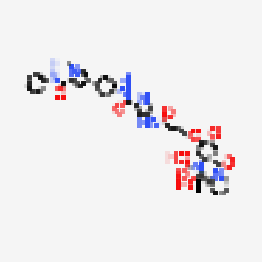 COc1cc2c(cc1OCCCC(=O)Nc1cc(C(=O)Nc3ccc(-c4cc(C(=O)Nc5ccccc5)n(C)c4)cc3)n(C)c1)N(C(=O)O)[C@@H](O)[C@@H]1CCCCN1C2=O